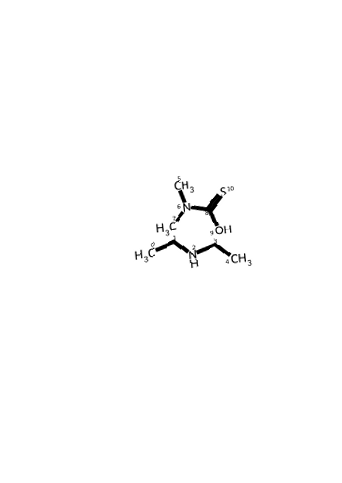 CCNCC.CN(C)C(O)=S